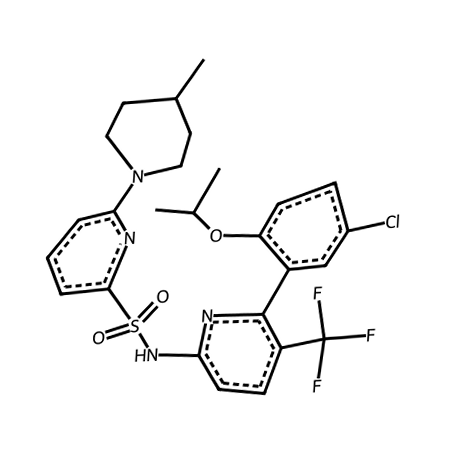 CC1CCN(c2cccc(S(=O)(=O)Nc3ccc(C(F)(F)F)c(-c4cc(Cl)ccc4OC(C)C)n3)n2)CC1